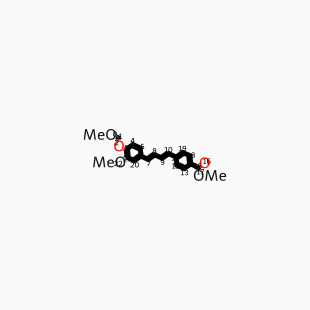 COCOc1ccc(/C=C/C=C/c2ccc(C(=O)OC)cc2)cc1OC